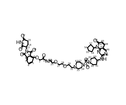 O=C(COc1cccc2c1C(=O)N(C1CCC(=O)NC1=O)C2=O)NCCOCCOCCN1CCN(S(=O)(=O)N2CCC(Nc3ncc4ccc(=O)n(C5CCCC5)c4n3)CC2)CC1